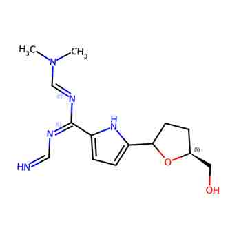 CN(C)/C=N/C(=N/C=N)c1ccc(C2CC[C@@H](CO)O2)[nH]1